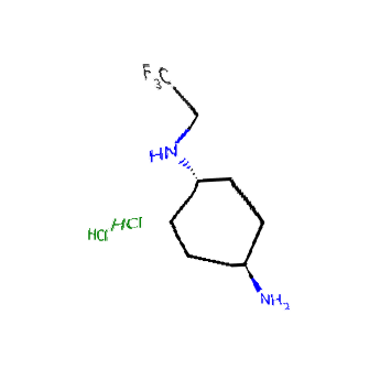 Cl.Cl.N[C@H]1CC[C@H](NCC(F)(F)F)CC1